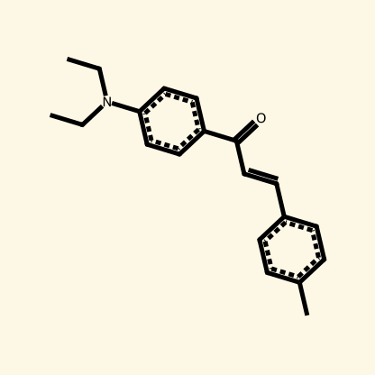 CCN(CC)c1ccc(C(=O)C=Cc2ccc(C)cc2)cc1